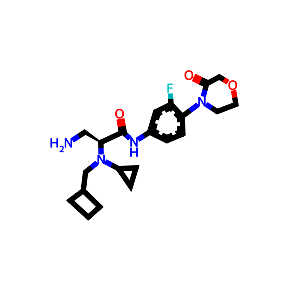 NC[C@@H](C(=O)Nc1ccc(N2CCOCC2=O)c(F)c1)N(CC1CCC1)C1CC1